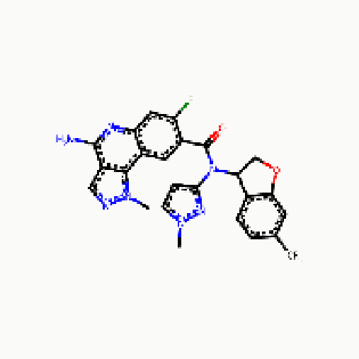 Cn1ccc(N(C(=O)c2cc3c(cc2F)nc(N)c2cnn(C)c23)C2COc3cc(C(F)(F)F)ccc32)n1